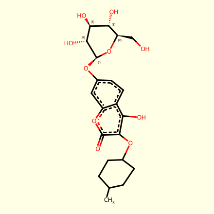 CC1CCC(Oc2c(O)c3ccc(O[C@@H]4O[C@H](CO)[C@@H](O)[C@H](O)[C@H]4O)cc3oc2=O)CC1